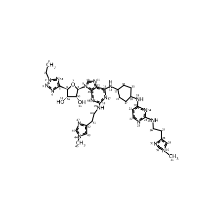 CCn1nnc([C@H]2O[C@@H](n3cnc4c(NC5CCC(Nc6ccnc(NCCc7cn(C)cn7)n6)CC5)nc(NCCc5cn(C)cn5)nc43)[C@H](O)[C@@H]2O)n1